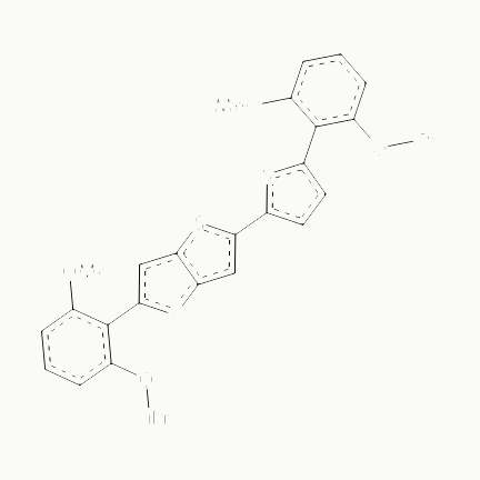 COc1cccc(OC(C)C)c1-c1ccc(-c2cc3sc(-c4c(OC)cccc4OC(C)C)cc3s2)s1